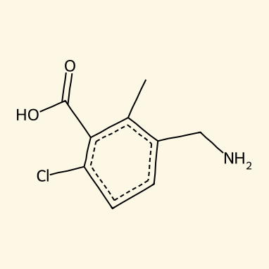 Cc1c(CN)ccc(Cl)c1C(=O)O